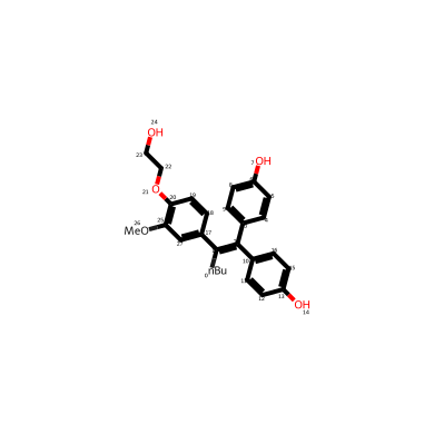 CCCCC(=C(c1ccc(O)cc1)c1ccc(O)cc1)c1ccc(OCCO)c(OC)c1